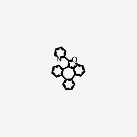 c1ccc(-c2oc3cccc4c3c2-c2ccccc2-c2ccccc2-4)nc1